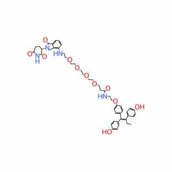 CCC(=C(c1ccc(O)cc1)c1ccc(OCCNC(=O)CCOCCOCCOCCOCCNc2cccc3c2CN(C2CCC(=O)NC2=O)C3=O)cc1)c1ccc(O)cc1